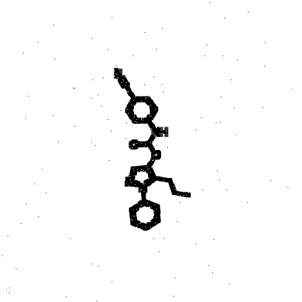 CCCc1c(OC(=O)Nc2ccc(C#N)cc2)cnn1-c1ccccc1